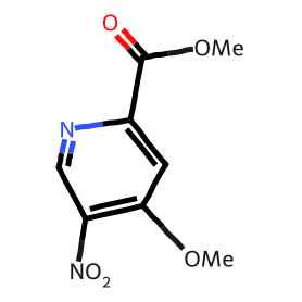 COC(=O)c1cc(OC)c([N+](=O)[O-])cn1